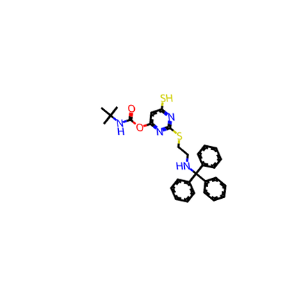 CC(C)(C)NC(=O)Oc1cc(S)nc(SCCNC(c2ccccc2)(c2ccccc2)c2ccccc2)n1